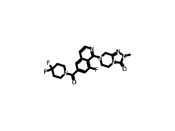 Cn1nc2n(c1=O)CCN(c1nccc3cc(C(=O)N4CCC(F)(F)CC4)cc(F)c13)C2